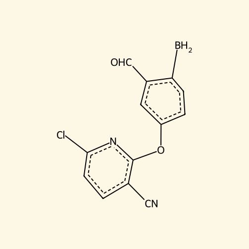 Bc1ccc(Oc2nc(Cl)ccc2C#N)cc1C=O